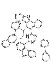 c1ccc(-c2cccc(-c3nc(-c4c(C5CCc6cc7ccccc7cc6-c6ccccc65)c5c6ccccc6oc5c5ccccc45)nc(-c4cccc5sc6ccccc6c45)n3)c2)cc1